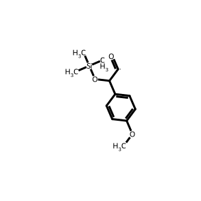 COc1ccc(C([C]=O)O[Si](C)(C)C)cc1